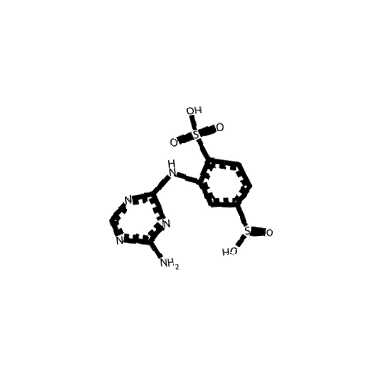 Nc1ncnc(Nc2cc(S(=O)O)ccc2S(=O)(=O)O)n1